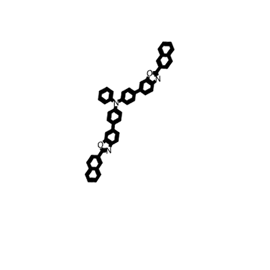 c1ccc(N(c2ccc(-c3ccc4nc(-c5ccc6ccccc6c5)oc4c3)cc2)c2ccc(-c3ccc4nc(-c5ccc6ccccc6c5)oc4c3)cc2)cc1